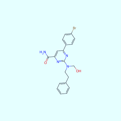 NC(=O)c1cc(-c2ccc(Br)cc2)nc(N(CO)CCc2ccccc2)n1